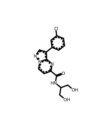 O=C(NC(CO)CO)c1ccn2ncc(-c3cccc(Cl)c3)c2n1